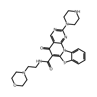 O=C(NCCN1CCOCC1)c1c(=O)c2cnc(N3CCNCC3)nc2n2c1sc1ccccc12